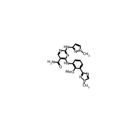 COc1c(Nc2nc(Nc3ccn(C)n3)ncc2C(N)=O)cccc1-c1ncn(C)n1